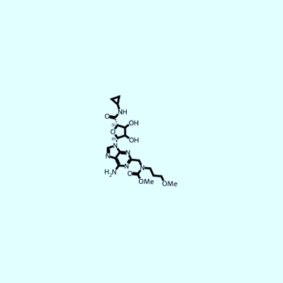 COCCCN(Cc1nc(N)c2ncn([C@@H]3O[C@H](C(=O)NC4CC4)C(O)C3O)c2n1)C(=O)OC